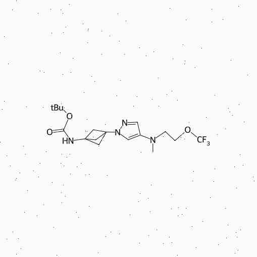 CN(CCOC(F)(F)F)c1cnn(C23CC(NC(=O)OC(C)(C)C)(C2)C3)c1